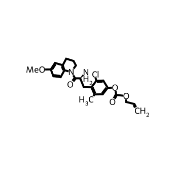 C=CCOC(=O)Oc1cc(C)c(C[C@H](N)C(=O)N2CCCc3cc(OC)ccc32)c(Cl)c1